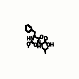 COC(=O)N[C@@H](Cc1ccccc1)C(=O)N[C@@H](CC(C)C)C(=O)O